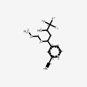 COCOC(CC(O)C(F)(F)F)c1ccnc(C#N)c1